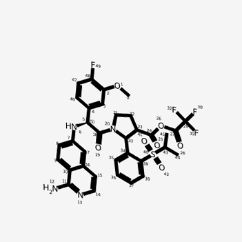 COc1cc([C@H](Nc2ccc3c(N)nccc3c2)C(=O)N2CCC(C(=O)OC(=O)C(F)(F)F)C2c2ccccc2S(=O)(=O)C(C)C)ccc1F